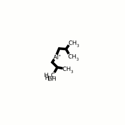 CC(C)[CH2][Al+][CH2]C(C)C.[H-].[LiH]